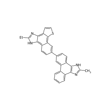 CCc1nc2c3ccsc3c3cc(-c4ccc5c(c4)c4ccccc4c4nc(C)[nH]c54)ccc3c2[nH]1